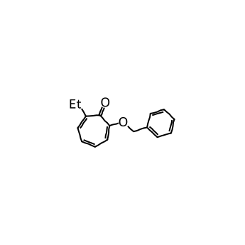 CCc1ccccc(OCc2ccccc2)c1=O